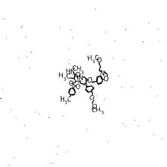 CCC(C(=O)NC)C([C@@H]1C[C@H](c2ccc(COCCOC)cc2)[C@@H](OCc2ccc3c(c2)N(CCCOC)CCO3)CN1)S(=O)(=O)c1ccc(C)cc1